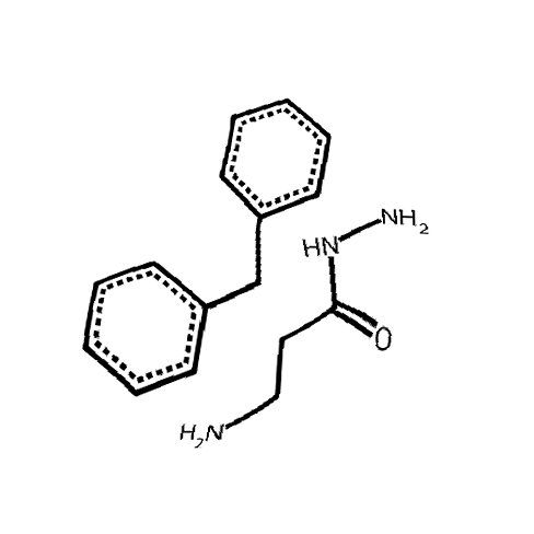 NCCC(=O)NN.c1ccc(Cc2ccccc2)cc1